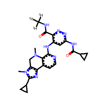 [2H]C([2H])([2H])NC(=O)c1nnc(NC(=O)C2CC2)cc1Nc1nccc2c1N(C)Cc1c-2nc(C2CC2)n1C